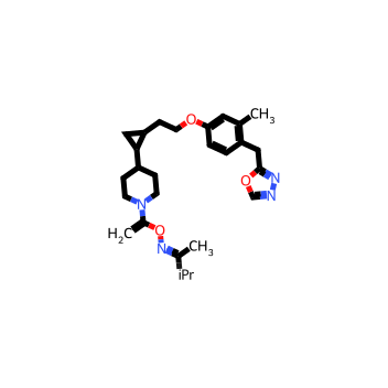 C=C(O/N=C(\C)C(C)C)N1CCC(C2CC2CCOc2ccc(Cc3nnco3)c(C)c2)CC1